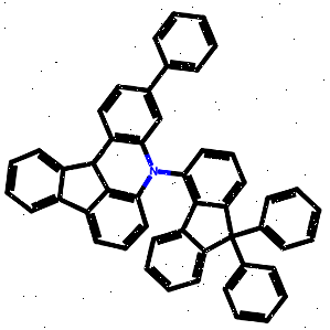 CC12c3ccccc3-c3cccc(c31)N(c1cccc3c1-c1ccccc1C3(c1ccccc1)c1ccccc1)c1cc(-c3ccccc3)ccc12